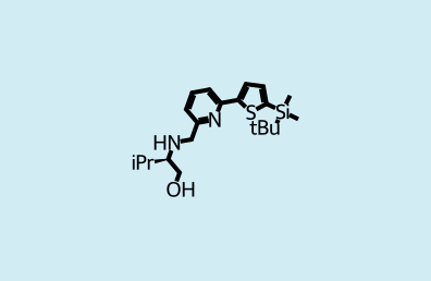 CC(C)[C@H](CO)NCc1cccc(-c2ccc([Si](C)(C)C(C)(C)C)s2)n1